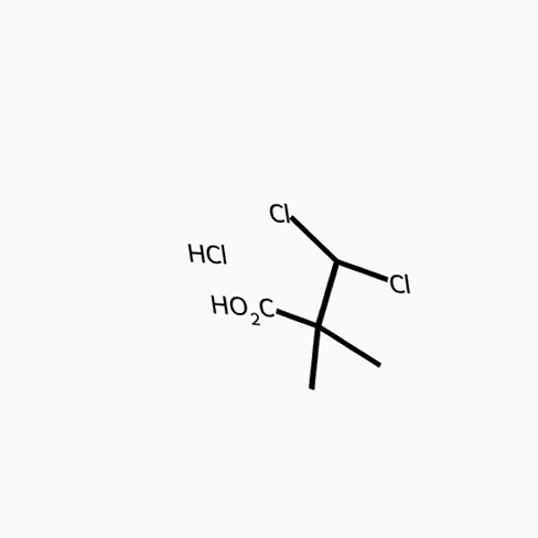 CC(C)(C(=O)O)C(Cl)Cl.Cl